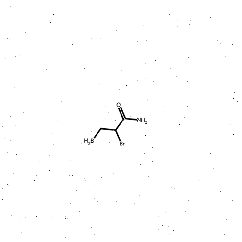 BCC(Br)C(N)=O